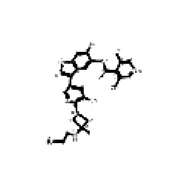 C[C@@H](Oc1cc2c(-c3cnc(N4CC(C)(NCCO)C4)c(C#N)c3)n[nH]c2cc1F)c1c(Cl)cncc1Cl